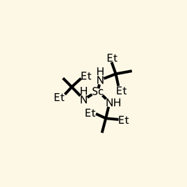 CCC(C)(CC)[NH][Sc]([NH]C(C)(CC)CC)[NH]C(C)(CC)CC